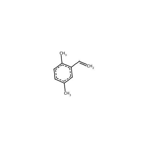 C=[C]c1cc(C)ccc1C